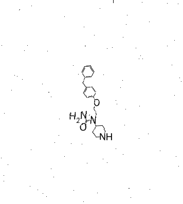 NC(=O)N(CCOc1ccc(Cc2ccccc2)cc1)C1CCNCC1